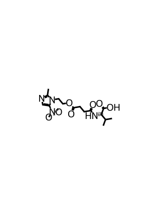 Cc1ncc([N+](=O)[O-])n1CCOC(=O)CCC(=O)N[C@H](C(=O)O)C(C)C